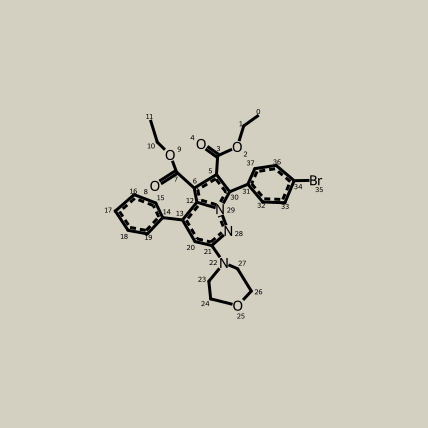 CCOC(=O)c1c(C(=O)OCC)c2c(-c3ccccc3)cc(N3CCOCC3)nn2c1-c1ccc(Br)cc1